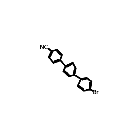 N#Cc1ccc(-c2ccc(-c3ccc(Br)cc3)cc2)cc1